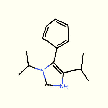 CC(C)C1=C(c2ccccc2)N(C(C)C)[C]N1